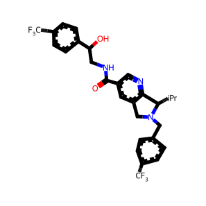 CC(C)C1c2ncc(C(=O)NCC(O)c3ccc(C(F)(F)F)cc3)cc2CN1Cc1ccc(C(F)(F)F)cc1